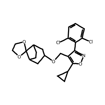 Clc1cccc(Cl)c1-c1noc(C2CC2)c1COC1CC2CCC(C1)C21OCCO1